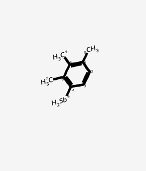 Cc1cc[c]([SbH2])c(C)c1C